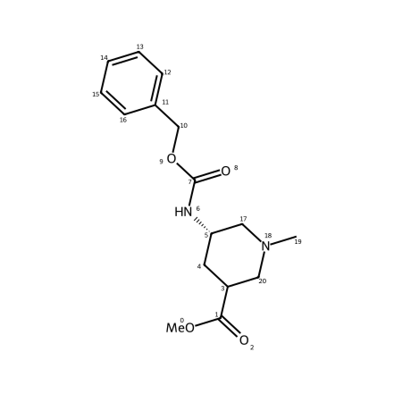 COC(=O)C1C[C@H](NC(=O)OCc2ccccc2)CN(C)C1